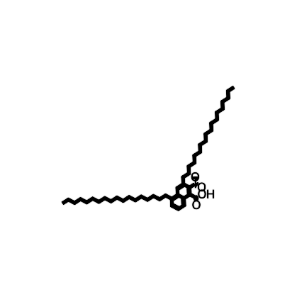 CCCCCCCCCCCCCCCCCCc1cc2c(CCCCCCCCCCCCCCCCCC)cccc2c(C(=O)O)c1I(=O)=O